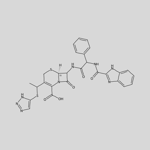 CC(Sc1cnn[nH]1)C1=C(C(=O)O)N2C(=O)C(NC(=O)C(NC(=O)c3nc4ccccc4[nH]3)c3ccccc3)[C@@H]2SC1